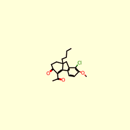 CCCCC12CCC(=O)C(C(C)=O)=C1c1ccc(OC)c(Cl)c1C2